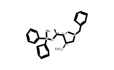 CCOC(=O)[C@@H]1CN(Cc2ccccc2)C[C@H]1[C@H](C)O[Si](c1ccccc1)(c1ccccc1)C(C)(C)C